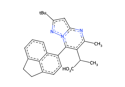 Cc1nc2cc(C(C)(C)C)nn2c(-c2ccc3c4c(cccc24)CC3)c1C(C)C(=O)O